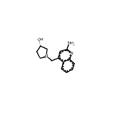 Nc1cc(CN2CC[C@H](O)C2)c2ccccc2n1